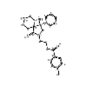 CCC[N+]1(c2ccccc2)CN(CCCC(=O)c2ccc(F)cc2)C(=O)C12CCNCC2